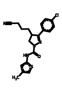 Cc1csc(NC(=O)N2CC(CCCC#N)C(c3ccc(Cl)cc3)=N2)c1